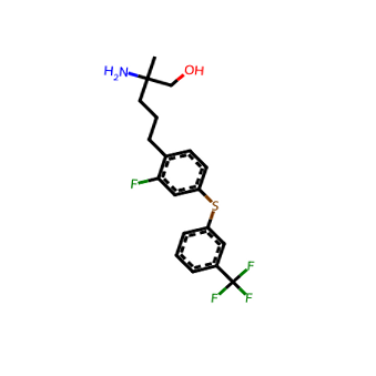 CC(N)(CO)CCCc1ccc(Sc2cccc(C(F)(F)F)c2)cc1F